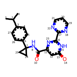 CC(C)c1ccc(C2(NC(=O)c3cc(=O)[nH]c(-c4ncccn4)n3)CC2)cc1